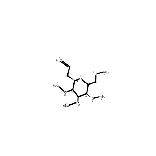 C=CC[C@H]1OC(COCCCC)[C@H](OCCCC)C(OCCCC)C1OCCCC